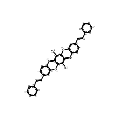 Clc1c2c(c(Cl)c3c1=Nc1ccc(/C=C/c4ccccc4)cc1O3)=Nc1ccc(/C=C/c3ccccc3)cc1O2